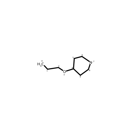 CCCOC1CC[N]CC1